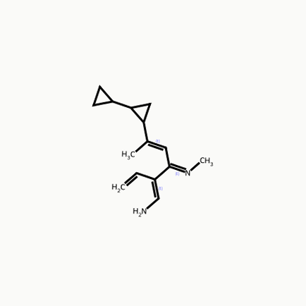 C=CC(=C\N)/C(/C=C(\C)C1CC1C1CC1)=N/C